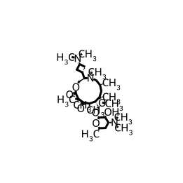 CO[C@]1(C)C[C@@H](C)CN(C)[C@H]([C@H]2C[C@@H](N(C)C)C2)COC(=O)C(C)(C)C(=O)[C@H](C)[C@H]1CO[C@@H]1O[C@H](C)C[C@H](N(C)C)[C@H]1O